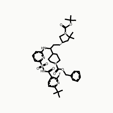 CC(C)(C)OC(=O)N1C[C@@H](CCC(Nc2cccc(S(=O)(=O)NC(=O)c3ccc(C(C)(C)C)nc3F)n2)C2CCN(C(=O)OCc3ccccc3)CC2)CC1(C)C